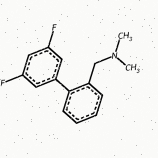 CN(C)Cc1ccccc1-c1cc(F)cc(F)c1